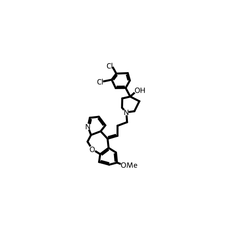 COc1ccc2c(c1)/C(=C/CCN1CCC(O)(c3ccc(Cl)c(Cl)c3)CC1)C1C=CC=NC1CO2